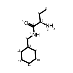 CC[C@@H](N)C(=O)NCC1CCCCC1